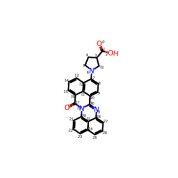 O=C(O)C1CCN(c2ccc3c4c2cccc4c(=O)n2c4cccc5cccc(nc32)c54)C1